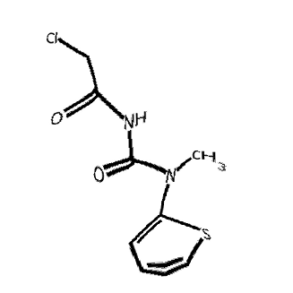 CN(C(=O)NC(=O)CCl)c1cccs1